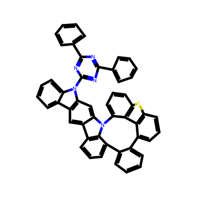 c1ccc(-c2nc(-c3ccccc3)nc(-n3c4ccccc4c4cc5c6cccc7c8ccccc8c8cccc9sc%10cccc(c%10c98)n(c5cc43)c76)n2)cc1